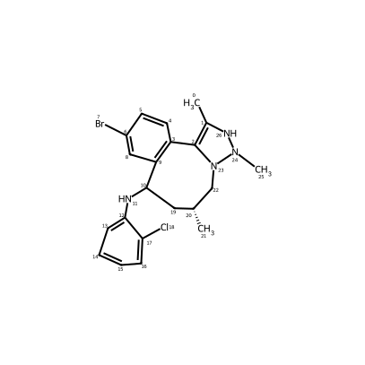 CC1=C2c3ccc(Br)cc3C(Nc3ccccc3Cl)C[C@@H](C)CN2N(C)N1